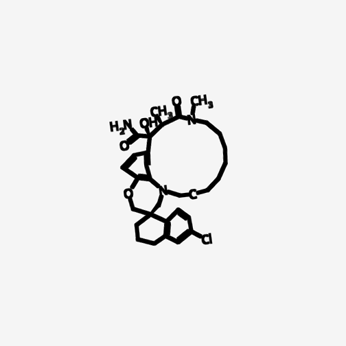 C[C@H]1C(=O)N(C)CCCCCCCCN2C[C@@]3(CCCc4cc(Cl)ccc43)COc3ccc(cc32)[C@]1(O)C(N)=O